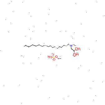 CCCCCCCCCCCCCCCCCCN(CC)CC(O)O.CCOS(=O)(=O)O